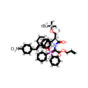 C=CCOC(=O)C(N1C(=O)[C@H]([C@@H](C)O[Si](C)(C)C(C)(C)C)[C@H]1[C@H]1CCC/C(=C\c2ccc([N+](=O)[O-])cc2)C1=O)=P(c1ccccc1)(c1ccccc1)c1ccccc1